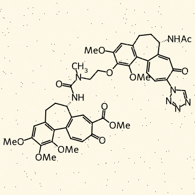 COC(=O)c1cc2c(ccc1=O)-c1c(cc(OC)c(OC)c1OC)CC[C@@H]2NC(=O)N(C)CCOc1c(OC)cc2c(c1OC)-c1ccc(-n3cnnn3)c(=O)cc1[C@@H](NC(C)=O)CC2